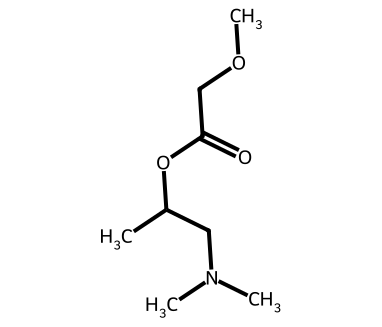 COCC(=O)OC(C)CN(C)C